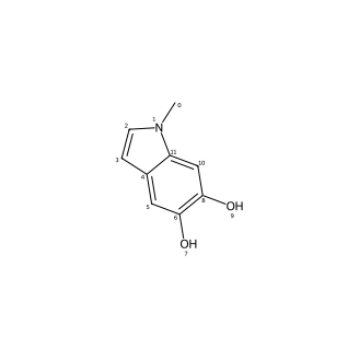 Cn1ccc2cc(O)c(O)cc21